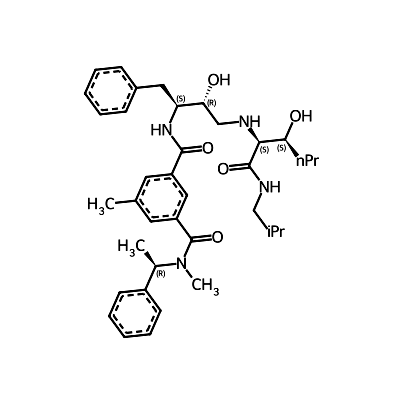 CCC[C@H](O)[C@H](NC[C@@H](O)[C@H](Cc1ccccc1)NC(=O)c1cc(C)cc(C(=O)N(C)[C@H](C)c2ccccc2)c1)C(=O)NCC(C)C